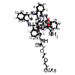 COCCOCCOCC(=O)NCCC[Si](C)(C)O[Si]1(O[Si](C)(C)CCCN)n2c3c4ccccc4c2/N=C2N=C(/N=c4/c5ccccc5/c(n41)=N/C1=NC(=N\3)/c3ccccc31)c1ccccc1\2